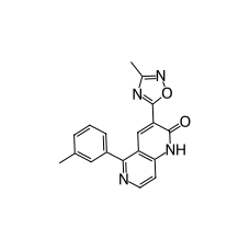 Cc1cccc(-c2nccc3[nH]c(=O)c(-c4nc(C)no4)cc23)c1